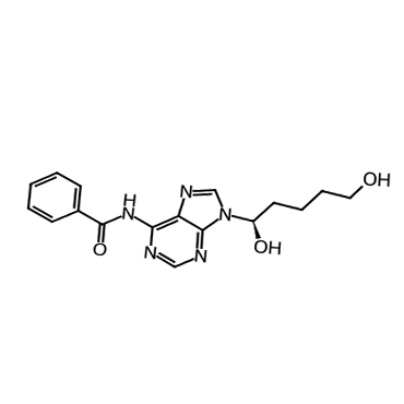 O=C(Nc1ncnc2c1ncn2[C@H](O)CCCCO)c1ccccc1